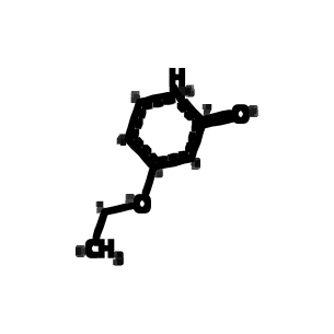 CCOc1cc[nH]c(=O)c1